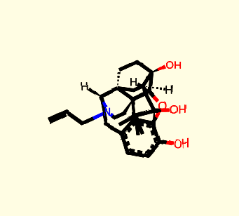 C=CCN1CC[C@]23c4c5ccc(O)c4O[C@H]2[C@@]2(O)CC[C@@]3(C[C@@H]2[C@](C)(O)C(C)(C)C)[C@H]1C5